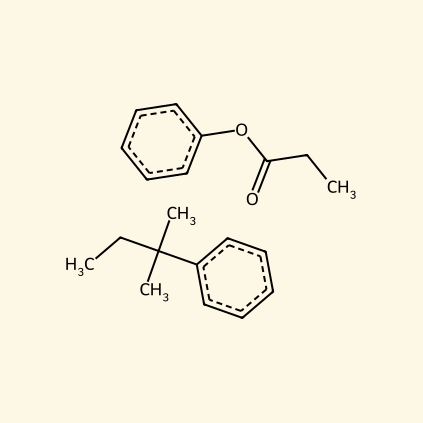 CCC(=O)Oc1ccccc1.CCC(C)(C)c1ccccc1